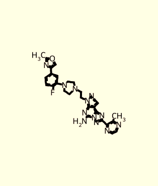 Cc1nc(-c2ccc(F)c(N3CCN(CCn4ncc5c4nc(N)n4nc(-c6nccnc6C)nc54)CC3)c2)co1